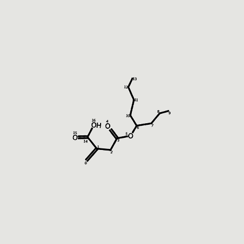 C=C(CC(=O)OC(CCC)CCCC)C(=O)O